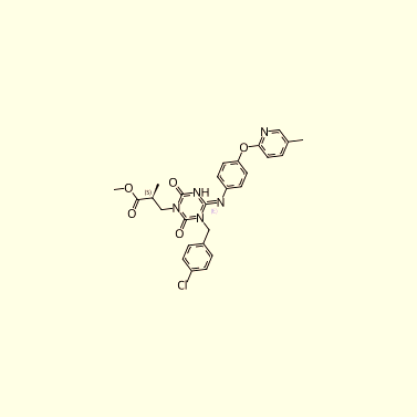 COC(=O)[C@@H](C)Cn1c(=O)[nH]/c(=N\c2ccc(Oc3ccc(C)cn3)cc2)n(Cc2ccc(Cl)cc2)c1=O